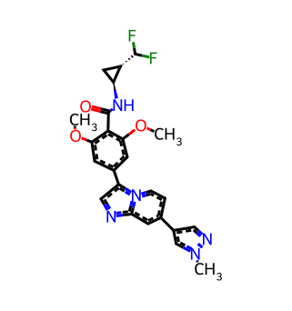 COc1cc(-c2cnc3cc(-c4cnn(C)c4)ccn23)cc(OC)c1C(=O)N[C@H]1C[C@@H]1C(F)F